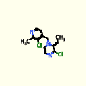 C/C=C1/C(Cl)=NC=CN1Cc1ccnc(C)c1Cl